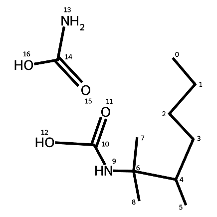 CCCCC(C)C(C)(C)NC(=O)O.NC(=O)O